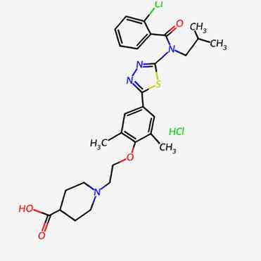 Cc1cc(-c2nnc(N(CC(C)C)C(=O)c3ccccc3Cl)s2)cc(C)c1OCCN1CCC(C(=O)O)CC1.Cl